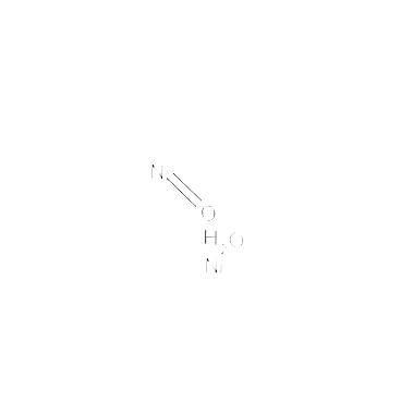 O.[Ni].[O]=[Ni]